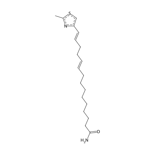 Cc1nc(C=CCCC=CCCCCCCCCC(N)=O)cs1